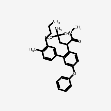 CCCCc1cc(-c2cc(Oc3ccccc3)ccc2C(CC(C)(C)C)C(=O)OC)ccc1C